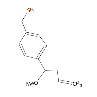 C=CCC(OC)c1ccc(CS)cc1